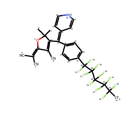 CC1(C)OC(=C(C#N)C#N)C(C#N)=C1C(=C1C=CNC=C1)c1ccc(C(F)(F)C(F)(F)C(F)(F)C(F)(F)C(F)(F)C(F)(F)F)cc1